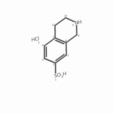 Cl.O=S(=O)(O)c1ccc2c(c1)CNCC2